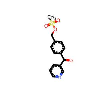 CS(=O)(=O)OCc1ccc(C(=O)c2cccnc2)cc1